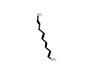 CC=CC=CC=CCC=CC